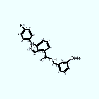 COc1cccc(CNC(=O)c2cccc3c2cnn3-c2ccc(F)cc2)c1